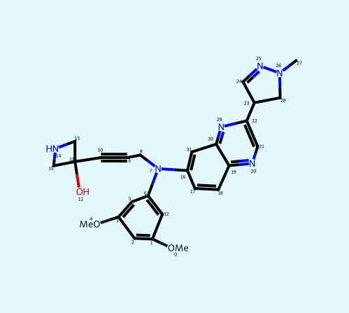 COc1cc(OC)cc(N(CC#CC2(O)CNC2)c2ccc3ncc(C4C=NN(C)C4)nc3c2)c1